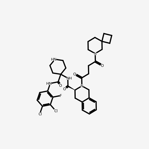 O=C(NC1(C(=O)Nc2ccc(Cl)c(Cl)c2F)CCNCC1)[C@@H]1Cc2ccccc2CN1C(=O)CCC(=O)N1CCCC2(CCC2)C1